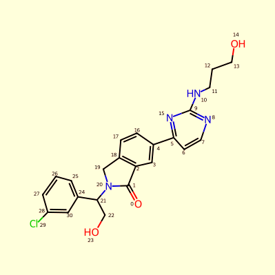 O=C1c2cc(-c3ccnc(NCCCO)n3)ccc2CN1C(CO)c1cccc(Cl)c1